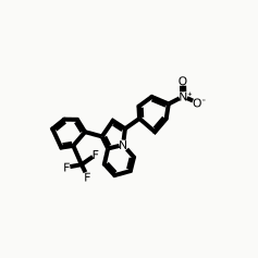 O=[N+]([O-])c1ccc(-c2cc(-c3ccccc3C(F)(F)F)c3ccccn23)cc1